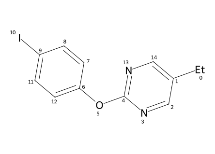 CCc1cnc(Oc2ccc(I)cc2)nc1